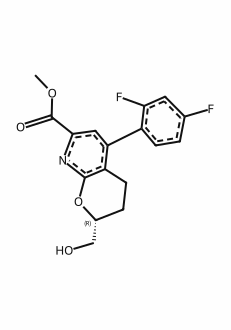 COC(=O)c1cc(-c2ccc(F)cc2F)c2c(n1)O[C@@H](CO)CC2